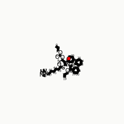 C=CCOC(=O)O[C@H](C)[C@H]1C(=O)N(C(C(=O)OCC=C)=P(c2ccccc2)(c2ccccc2)c2ccccc2)[C@@H]1SC(=O)CCCCCn1cnnn1